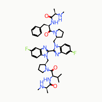 CN[C@H](C)C(=O)N[C@H](Cc1ccccc1)C(=O)N1CCC[C@H]1Cn1c(-c2nc3cc(F)ccc3n2C[C@@H]2CCCN2C(=O)[C@H](NC(=O)[C@@H](C)NC)C(C)C)nc2cc(F)ccc21